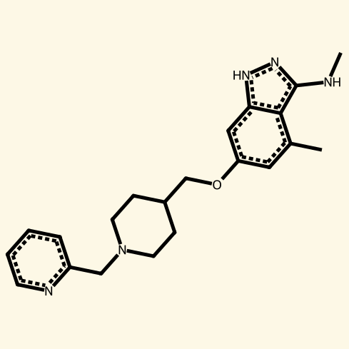 CNc1n[nH]c2cc(OCC3CCN(Cc4ccccn4)CC3)cc(C)c12